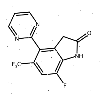 O=C1Cc2c(c(F)cc(C(F)(F)F)c2-c2ncccn2)N1